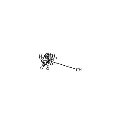 C#CC#CC#CC#CC#CC#CC#CC#CC#CC#CC#CC(=O)N[C@@H](COC1OC(COCc2ccccc2)C(OCc2ccccc2)C(OCc2ccccc2)C1OCc1ccccc1)[C@@H]1OC(C)(C)O[C@@H]1CC